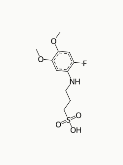 COc1cc(F)c(NCCCS(=O)(=O)O)cc1OC